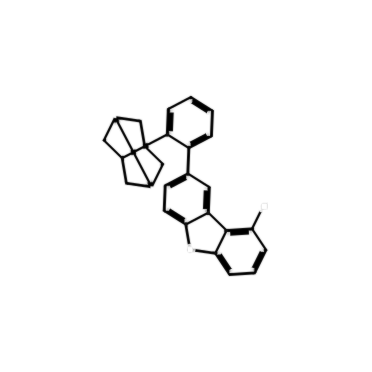 Clc1cccc2oc3ccc(-c4ccccc4C45CC6CC4CC6C5)cc3c12